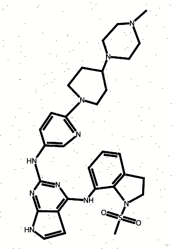 CN1CCN(C2CCN(c3ccc(Nc4nc(Nc5cccc6c5N(S(C)(=O)=O)CC6)c5cc[nH]c5n4)cn3)CC2)CC1